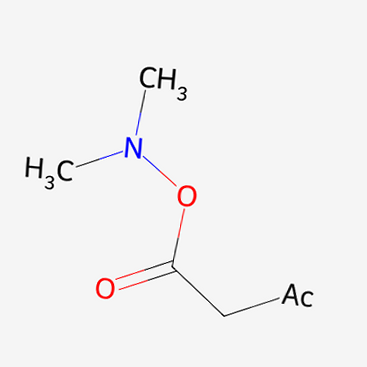 CC(=O)CC(=O)ON(C)C